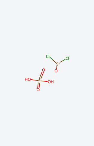 O=S(=O)(O)O.[O-][S+](Cl)Cl